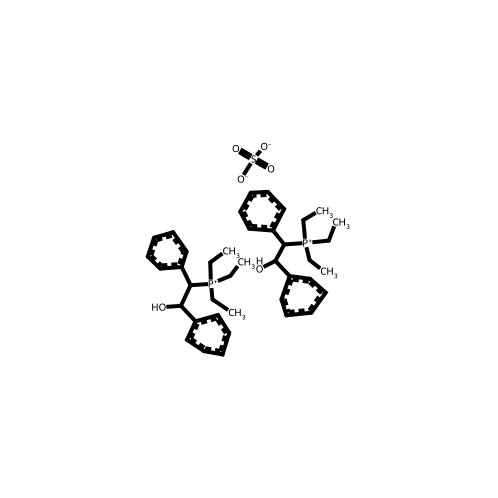 CC[P+](CC)(CC)C(c1ccccc1)C(O)c1ccccc1.CC[P+](CC)(CC)C(c1ccccc1)C(O)c1ccccc1.O=S(=O)([O-])[O-]